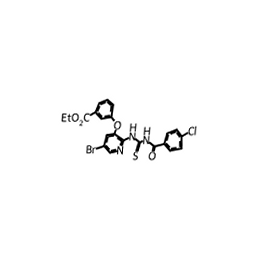 CCOC(=O)c1cccc(Oc2cc(Br)cnc2NC(=S)NC(=O)c2ccc(Cl)cc2)c1